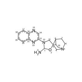 NC1OC2(CN3CCC2CC3)CN1c1cnc2ccccc2n1